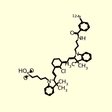 CC1(C)C(/C=C/C2=C(Cl)C(=C/C=C3/N(CCCNC(=O)c4cccc([124I])c4)c4ccccc4C3(C)C)/CCC2)=[N+](CCCCS(=O)(=O)O)c2ccccc21